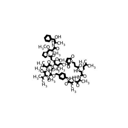 CC[C@H](C)[C@@H]([C@@H](CC(=O)N1CCC[C@H]1[C@H](OC)[C@@H](C)C(=O)N[C@H](C)[C@@H](O)c1ccccc1)OC)N(C)C(=O)[C@@H](NC(=O)[C@H](C(C)C)N(C)C(=O)OCc1ccc(NC(=O)[C@H](C)NC(=O)[C@H](C)NC(=O)[C@@H](CCC(C)C)NC(=O)CCN2C(=O)C=CC2=O)cc1)C(C)C